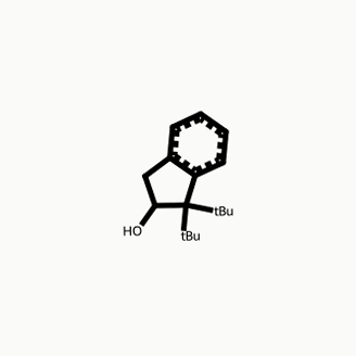 CC(C)(C)C1(C(C)(C)C)c2ccccc2CC1O